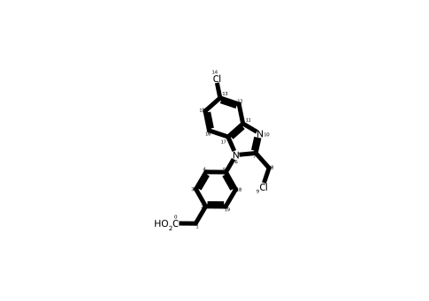 O=C(O)Cc1ccc(-n2c(CCl)nc3cc(Cl)ccc32)cc1